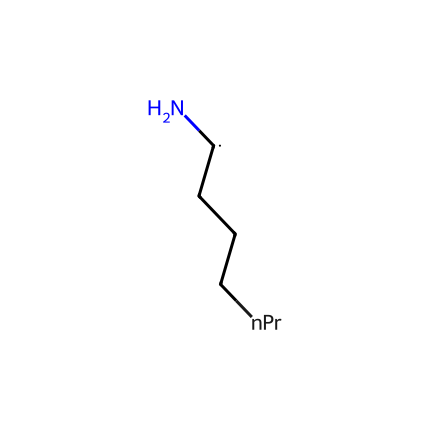 CCCCCC[CH]N